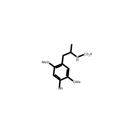 CCCc1cc(OC)c(CC(C)NC(=O)O)cc1OC